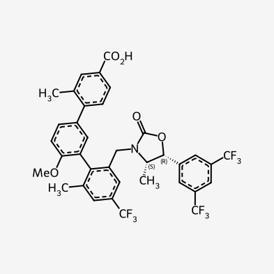 COc1ccc(-c2ccc(C(=O)O)cc2C)cc1-c1c(C)cc(C(F)(F)F)cc1CN1C(=O)O[C@H](c2cc(C(F)(F)F)cc(C(F)(F)F)c2)[C@@H]1C